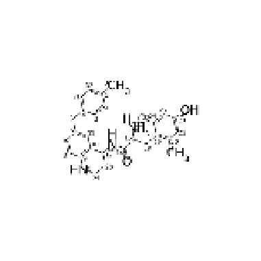 Cc1ccc(Cc2ccc3c(c2)C(NC(=O)C(N)Cc2c(C)cc(O)cc2C)CCN3)cc1